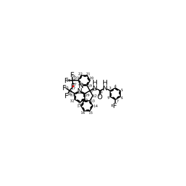 O=C(Nc1cccc(F)c1)NC(Cc1ccccc1)(c1cccc(C(F)(F)F)n1)c1cccc(C(F)(F)F)n1